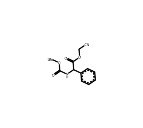 CC(C)(C)OC(=O)NC(C(=O)OCC#N)c1ccccc1